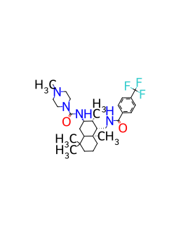 C[C@H]1[C@H](NC(=O)N2CCN(C)CC2)CC2C(C)(C)CCC[C@]2(C)[C@H]1CNC(=O)c1ccc(C(F)(F)F)cc1